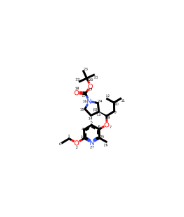 CCOc1ccc(OC(CC(C)C)[C@H]2CCN(C(=O)OC(C)(C)C)C2)c(C)n1